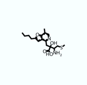 CCCCc1cc2c(CC(O)(C(=O)O)C(N)CSC)ncc(C)c2o1